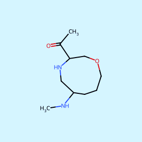 CNC1CCCOCC(C(C)=O)NC1